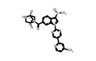 Cc1ccnc(-c2cnc(-n3cc([S+](C)[O-])c4ccc(C(=O)N5C[C@@H]6C[C@H]5CN6)cc43)nc2)c1